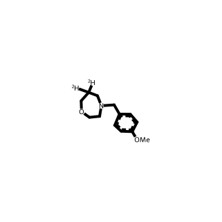 [2H]C1([2H])COCCN(Cc2ccc(OC)cc2)C1